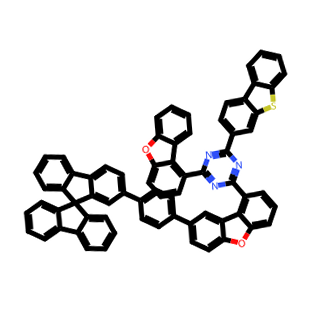 c1ccc2c(c1)-c1ccccc1C21c2ccccc2-c2ccc(-c3ccc(-c4ccc5oc6cccc(-c7nc(-c8ccc9c(c8)sc8ccccc89)nc(-c8cccc9oc%10ccccc%10c89)n7)c6c5c4)cc3)cc21